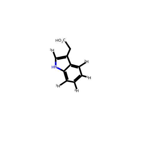 [2H]c1[nH]c2c([2H])c([2H])c([2H])c([2H])c2c1CC(=O)O